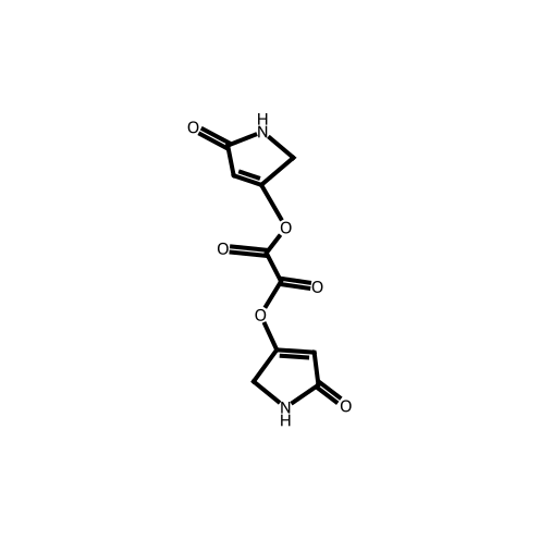 O=C1C=C(OC(=O)C(=O)OC2=CC(=O)NC2)CN1